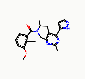 COc1cccc(C(=O)N2Cc3nc(C)nc(-c4ccn[nH]4)c3CC2C)c1C